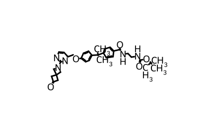 CC(C)(C)OC(=O)NCCNC(=O)c1ccc(C(C)(C)c2ccc(OCc3ccnc(N4CC5(CC(=O)C5)C4)n3)cc2)cc1